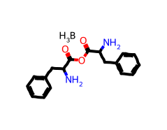 B.NC(Cc1ccccc1)C(=O)OC(=O)C(N)Cc1ccccc1